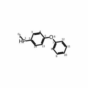 IPc1ccc(Oc2ccccc2)cc1